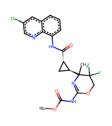 CC(C)(C)OC(=O)NC1=NC(C)([C@H]2C[C@@H]2C(=O)Nc2cccc3cc(Cl)cnc23)C(F)(F)CO1